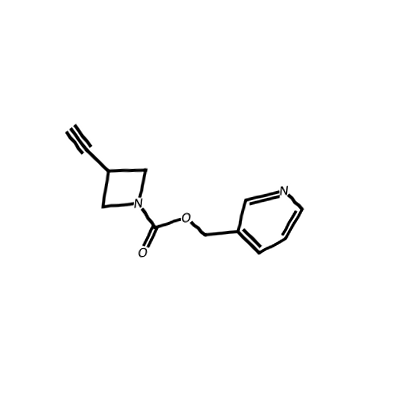 C#CC1CN(C(=O)OCc2cccnc2)C1